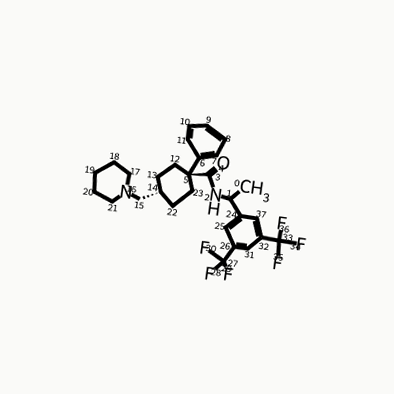 CC(NC(=O)[C@]1(c2ccccc2)CC[C@@H](CN2CCCCC2)CC1)c1cc(C(F)(F)F)cc(C(F)(F)F)c1